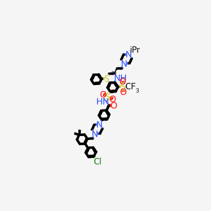 CC(C)N1CCN(CC[C@H](CSc2ccccc2)Nc2ccc(S(=O)(=O)NC(=O)c3ccc(N4CCN(CC5=C(c6ccc(Cl)cc6)CCC(C)(C)C5)CC4)cc3)cc2S(=O)(=O)C(F)(F)F)CC1